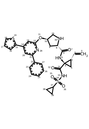 C=C[C@@H]1C[C@]1(NC(=O)[C@@H]1C[C@@H](Oc2cc(-c3cccs3)cc(-c3ccccc3)n2)CN1)C(=O)NS(=O)(=O)C1CC1